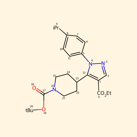 CCOC(=O)c1cnn(-c2ccc(C(C)C)cc2)c1C1CCN(C(=O)OC(C)(C)C)CC1